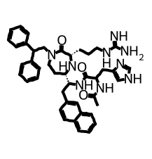 CC(=O)NC(Cc1c[nH]cn1)C(=O)NC(Cc1ccc2ccccc2c1)[C@@H]1CCN(CC(c2ccccc2)c2ccccc2)C(=O)[C@H](CCCNC(=N)N)N1